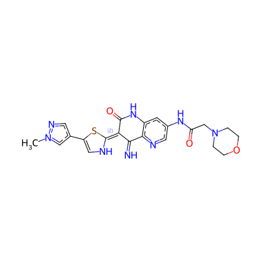 Cn1cc(C2=CN/C(=C3\C(=N)c4ncc(NC(=O)CN5CCOCC5)cc4NC3=O)S2)cn1